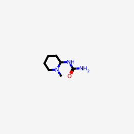 CN1CCCCC1NC(N)=O